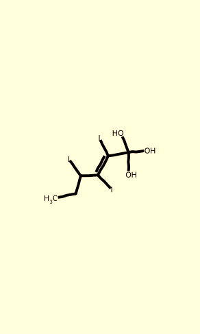 CCC(I)/C(I)=C(\I)C(O)(O)O